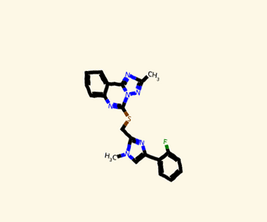 Cc1nc2c3ccccc3nc(SCc3nc(-c4ccccc4F)cn3C)n2n1